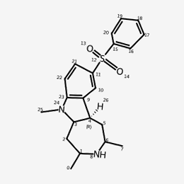 CC1CC2[C@H](CC(C)N1)c1cc(S(=O)(=O)c3ccccc3)ccc1N2C